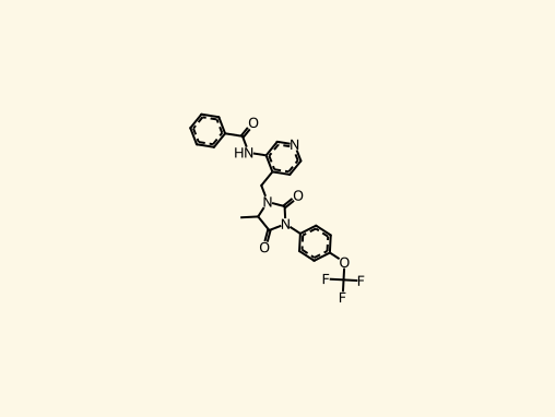 CC1C(=O)N(c2ccc(OC(F)(F)F)cc2)C(=O)N1Cc1ccncc1NC(=O)c1ccccc1